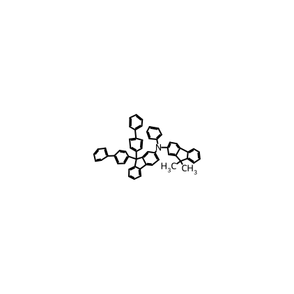 CC1(C)c2ccccc2-c2ccc(N(c3ccccc3)c3ccc4c(c3)C(c3ccc(-c5ccccc5)cc3)(c3ccc(-c5ccccc5)cc3)c3ccccc3-4)cc21